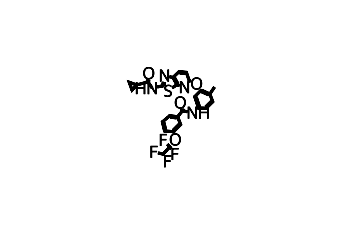 Cc1ccc(NC(=O)c2cccc(OC(F)(F)C(F)F)c2)cc1Oc1ccc2nc(NC(=O)C3CC3)sc2n1